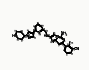 N#Cc1cccc(-c2cc3nc(NCc4cccc(-c5cnn(C6CCNCC6)c5)n4)nn3c(N)n2)c1F